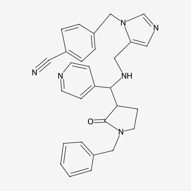 N#Cc1ccc(Cn2cncc2CNC(c2ccncc2)C2CCN(Cc3ccccc3)C2=O)cc1